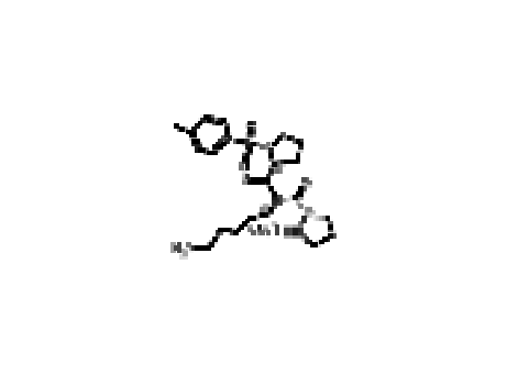 Cc1ccc(S(=O)(=O)N2CCC[C@H]2C(=O)N(C(=O)[C@@H]2CCCN2)[C@@H](CCCCN)C(=O)O)cc1